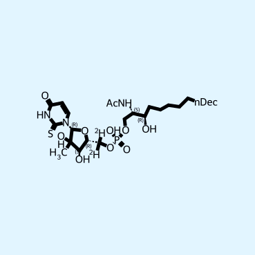 [2H]C([2H])(OP(=O)(O)OC[C@H](NC(C)=O)[C@H](O)CCCCCCCCCCCCCCC)[C@H]1O[C@@H](n2ccc(=O)[nH]c2=S)C(C)(O)[C@H]1O